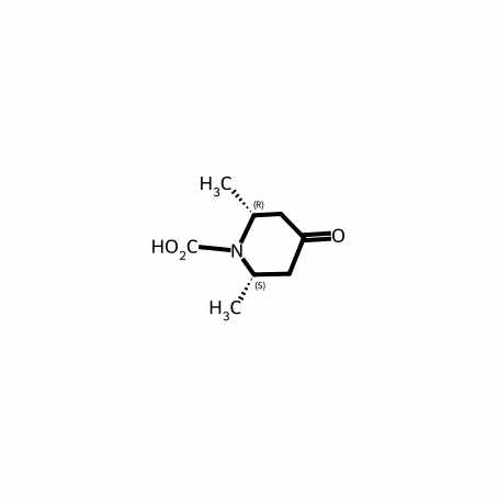 C[C@@H]1CC(=O)C[C@H](C)N1C(=O)O